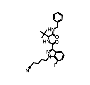 CC(C)(C)[C@H](NC(=O)c1nn(CCCCC#N)c2c(F)cccc12)C(=O)NCc1ccccc1